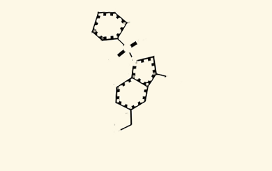 O=C(O)c1cn(S(=O)(=O)c2ccccc2)c2ccc(CO)cc12